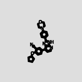 N#Cc1cc(-c2ccnc3[nH]c(-c4ccc(N5CCOCC5)cc4)nc23)ccc1OC1CCCC1